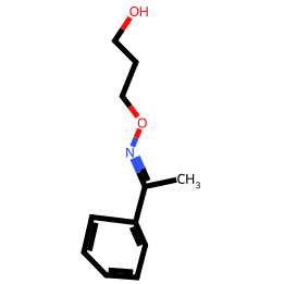 CC(=NOCCCO)c1ccccc1